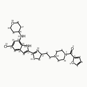 O=C(c1ccco1)N1CCN(CCC2CSC(c3cc4cc(Cl)cc(NC5CCOCC5)c4[nH]3)=N2)CC1